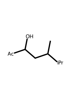 CC(=O)C(O)CC(C)C(C)C